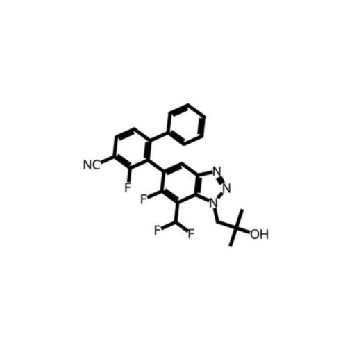 CC(C)(O)Cn1nnc2cc(-c3c(-c4ccccc4)ccc(C#N)c3F)c(F)c(C(F)F)c21